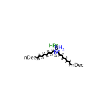 Br.CCCCCCCCCCCCCCCCCC[N+](C)(C)CCCCCCCCCCCCCCCCCC.N